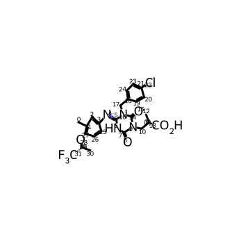 Cc1cc(/N=c2\[nH]c(=O)n(C[C@H](C)C(=O)O)c(=O)n2Cc2ccc(Cl)cc2)ccc1O[C@H](C)C(F)(F)F